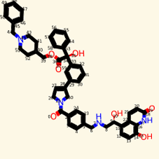 O=C(c1ccc(CNC[C@H](O)c2ccc(O)c3[nH]c(=O)ccc23)cc1)N1CC=C(c2cccc([C@](O)(C(=O)OCC3CCN(Cc4ccccc4)CC3)c3ccccc3)c2)C1